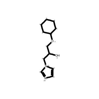 OC(COC1CCCCC1)Cn1ccnc1